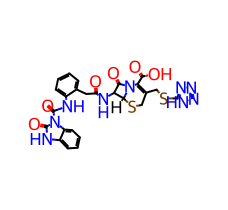 O=C(Cc1ccccc1NC(=O)n1c(=O)[nH]c2ccccc21)NC1C(=O)N2C(C(=O)O)=C(CSc3nnn[nH]3)CS[C@H]12